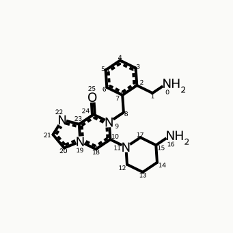 NCc1ccccc1Cn1c(N2CCCC(N)C2)cn2ccnc2c1=O